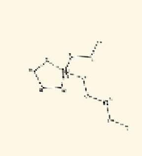 CCC[N+]1(CCOCC)CCCC1